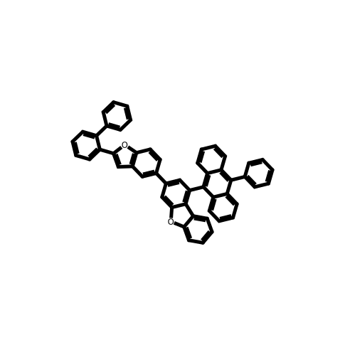 c1ccc(-c2ccccc2-c2cc3cc(-c4cc(-c5c6ccccc6c(-c6ccccc6)c6ccccc56)c5c(c4)oc4ccccc45)ccc3o2)cc1